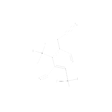 N#CCc1ccc(C(F)(F)F)c(C#N)c1C(F)(F)F